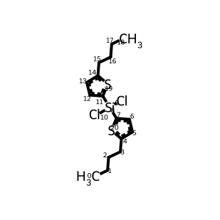 CCCCc1ccc([Si](Cl)(Cl)c2ccc(CCCC)s2)s1